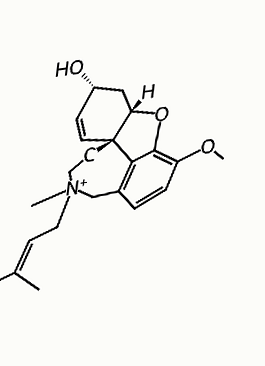 COc1ccc2c3c1O[C@H]1C[C@@H](O)C=C[C@@]31CC[N+](C)(CC=C(C)C)C2